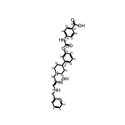 N=N/C(=C\NCc1ccccn1)CN1CCC(c2cccc(OC(=O)Nc3ccc(C(=O)O)cc3)c2)CC1